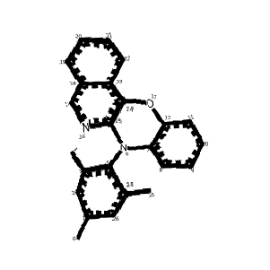 Cc1cc(C)c(N2c3ccccc3Oc3c2ncc2ccccc32)c(C)c1